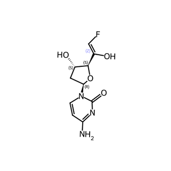 Nc1ccn([C@H]2C[C@H](O)[C@@H](/C(O)=C/F)O2)c(=O)n1